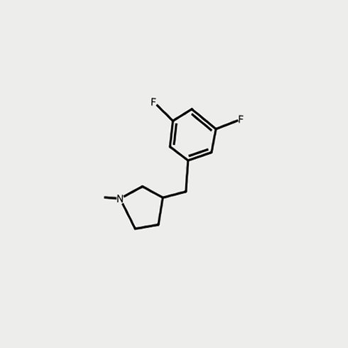 CN1CCC(Cc2cc(F)cc(F)c2)C1